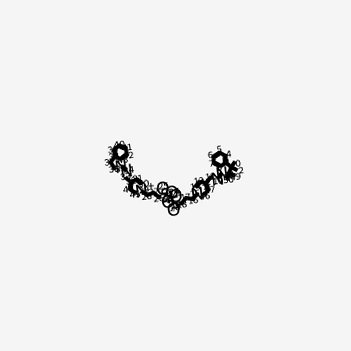 CC1(C)c2ccccc2N(N=Cc2cc[n+](CCCS(=O)(=O)OS(=O)(=O)CCC[n+]3ccc(C=NN4CCc5ccccc54)cc3)cc2)C1(C)C